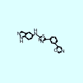 c1cc(-c2cnco2)cc(-c2nnc(Nc3ccc4[nH]ncc4c3)s2)c1